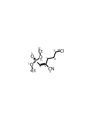 CCOP(=O)(C=C(C#N)CCCCl)OCC